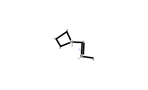 C/N=C/N1CCC1